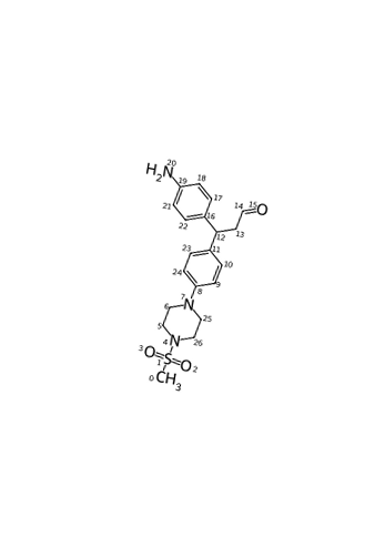 CS(=O)(=O)N1CCN(c2ccc(C(CC=O)c3ccc(N)cc3)cc2)CC1